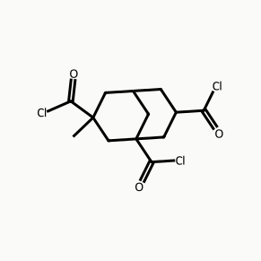 CC1(C(=O)Cl)CC2CC(C(=O)Cl)CC(C(=O)Cl)(C2)C1